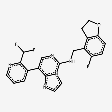 Fc1ccc2c(c1CNc1ncc(-c3cccnc3C(F)F)c3nccn13)CCO2